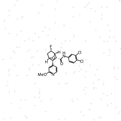 COc1cc([C@@H]2[C@@H](C(=O)Nc3ccc(Cl)c(Cl)c3)[C@@H]3O[C@H]2C[C@H]3F)ccn1